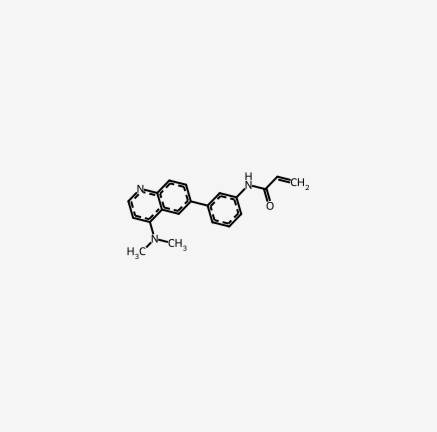 C=CC(=O)Nc1cccc(-c2ccc3nccc(N(C)C)c3c2)c1